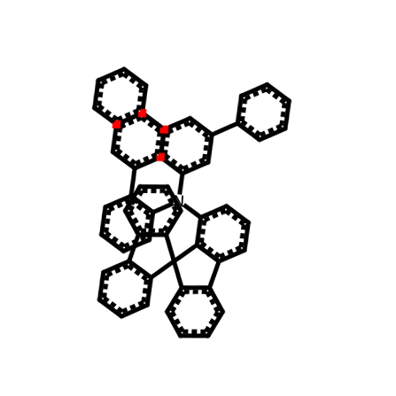 c1ccc(-c2cc(-c3ccccc3)cc(N(c3ccccc3-c3ccccc3)c3cccc4c3C3(c5ccccc5-c5ccccc53)c3ccccc3-4)c2)cc1